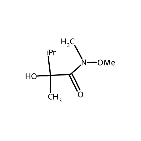 CON(C)C(=O)C(C)(O)C(C)C